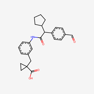 O=Cc1ccc(C(C(=O)Nc2cccc(CC3(C(=O)O)CC3)c2)C2CCCC2)cc1